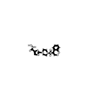 O=C(NO)c1cnc(N2CCN(S(=O)(=O)C3COOc4ccccc43)CC2)s1